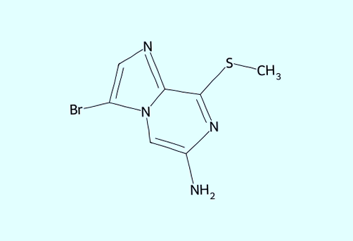 CSc1nc(N)cn2c(Br)cnc12